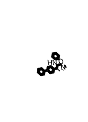 C[C@@H](c1ccc(-c2ccccc2)cc1)[C@H](Nc1ccccc1)C(=O)N(C)C